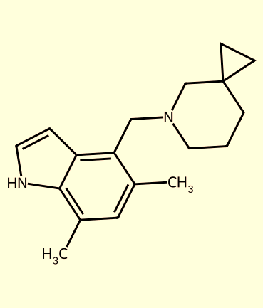 Cc1cc(C)c2[nH]ccc2c1CN1CCCC2(CC2)C1